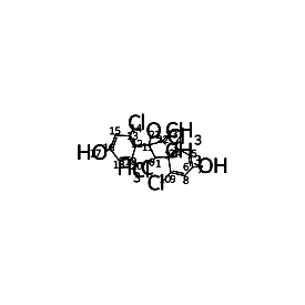 CC(c1c(Cl)cc(O)cc1Cl)C1(c2c(Cl)cc(O)cc2Cl)OC1(C)C